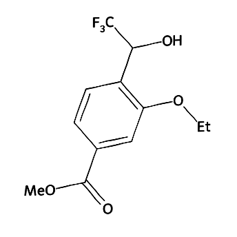 CCOc1cc(C(=O)OC)ccc1C(O)C(F)(F)F